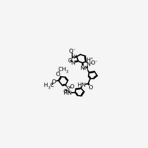 COc1ccc(S(=O)(=O)Nc2cccc(NC(=O)c3cccc(N4N=C5C(=CCc6c5no[n+]6[O-])[NH+]4[O-])c3)c2)cc1OC